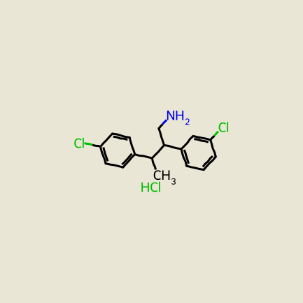 CC(c1ccc(Cl)cc1)C(CN)c1cccc(Cl)c1.Cl